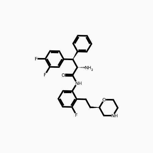 N[C@H](C(=O)Nc1cccc(F)c1CC[C@@H]1CNCCO1)[C@H](c1ccccc1)c1ccc(F)c(F)c1